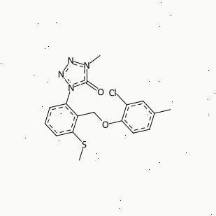 CSc1cccc(-n2nnn(C)c2=O)c1COc1ccc(C)cc1Cl